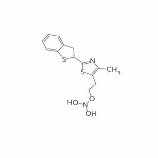 Cc1nc(C2Cc3ccccc3S2)sc1CCON(O)O